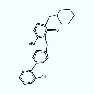 CCCCc1ccc(CN2CCCCC2)c(=O)n1Cc1ccc(-c2ccccc2C#N)cc1